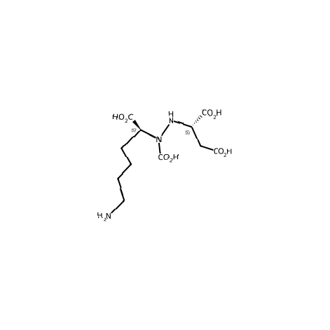 NCCCC[C@@H](C(=O)O)N(N[C@@H](CC(=O)O)C(=O)O)C(=O)O